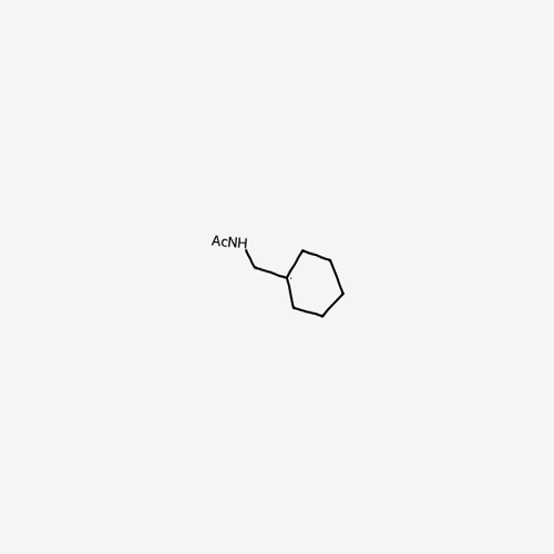 CC(=O)NC[C]1CCCCC1